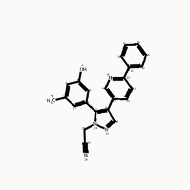 Cc1cc(O)cc(-c2c(-c3ccc(-c4ccccc4)nc3)cnn2CC#N)c1